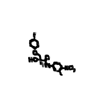 Cc1cc(NC(=O)C(C)(O)COc2ccc(F)cc2)ccc1[N+](=O)[O-]